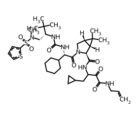 C=CCNC(=O)C(=O)C(CC1CC1)NC(=O)[C@@H]1[C@@H]2[C@H](CN1C(=O)[C@@H](NC(=O)N[C@H](CN(C)S(=O)(=O)c1cccs1)C(C)(C)C)C1CCCCC1)C2(C)C